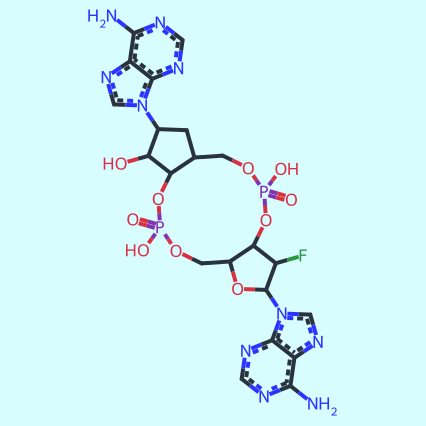 Nc1ncnc2c1ncn2C1CC2COP(=O)(O)OC3C(COP(=O)(O)OC2C1O)OC(n1cnc2c(N)ncnc21)C3F